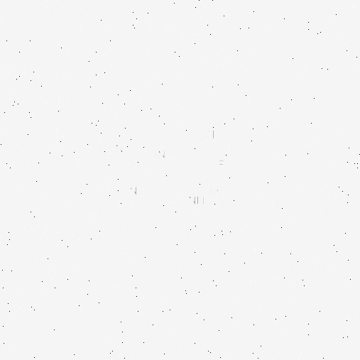 N#Cc1cnc2ccc(NCc3ccccc3O)cc2c1Nc1ccc(F)c(Cl)c1